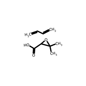 C=CC=C.CC1(C)OC1C(=O)O